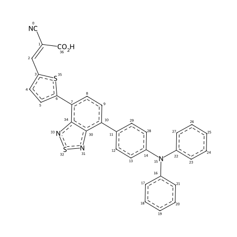 N#CC(=Cc1ccc(-c2ccc(-c3ccc(N(c4ccccc4)c4ccccc4)cc3)c3nsnc23)s1)C(=O)O